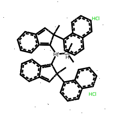 Cl.Cl.[CH3][GeH]([CH3])[Hf]([C]1=c2ccccc2=CC1(C)c1cccc2ccccc12)[C]1=c2ccccc2=CC1(C)c1cccc2ccccc12